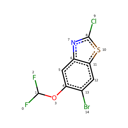 FC(F)Oc1cc2nc(Cl)sc2cc1Br